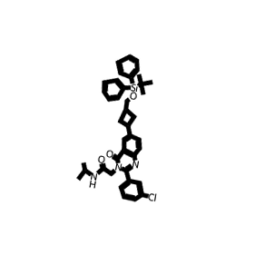 CC(C)NC(=O)Cn1c(-c2cccc(Cl)c2)nc2ccc(C3CC(CO[Si](c4ccccc4)(c4ccccc4)C(C)(C)C)C3)cc2c1=O